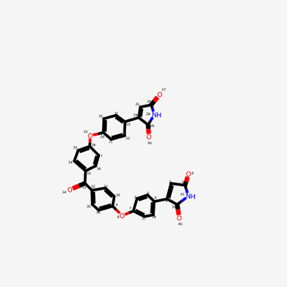 O=C1C=C(c2ccc(Oc3ccc(C(=O)c4ccc(Oc5ccc(C6=CC(=O)NC6=O)cc5)cc4)cc3)cc2)C(=O)N1